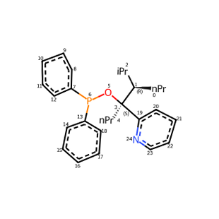 CCC[C@H](C(C)C)[C@](CCC)(OP(c1ccccc1)c1ccccc1)c1ccccn1